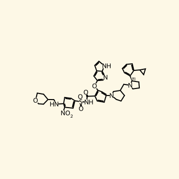 O=C(NS(=O)(=O)c1ccc(NCC2CCOCC2)c([N+](=O)[O-])c1)c1ccc(N2CCCC(CN3CCC[C@@H]3c3ccccc3C3CC3)C2)cc1Oc1cnc2[nH]ccc2c1